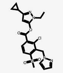 CCn1nc(C2CC2)cc1OC(=O)c1ccc(S(C)(=O)=O)c(Cn2cccn2)c1Cl